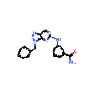 NC(=O)c1cccc(Nc2ncc3nnn(Cc4ccccc4)c3n2)c1